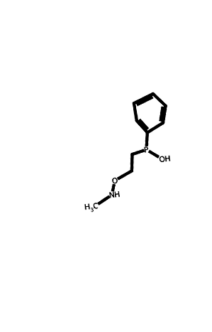 CNOCCP(O)c1ccccc1